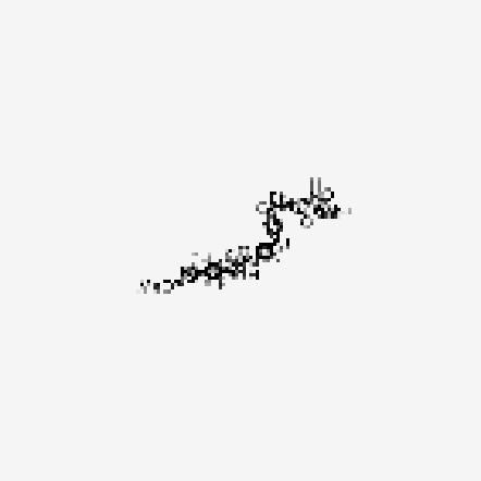 CCC(CCN(CCNC(=O)OC(C)(C)C)CC(=O)OC(C)(C)C)C(=O)N1CCN(C(=O)c2ccc(NC(=O)c3ncc(-c4ccc(-c5cn(CCOC)nc5C)c(F)c4F)n3C)cc2Cl)CC1